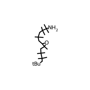 CC(C)(C)CC(C)(C)C(C)(C)CC1(C)OC1CC(C)(C)CC(C)(C)C(C)(C)N